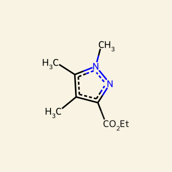 CCOC(=O)c1nn(C)c(C)c1C